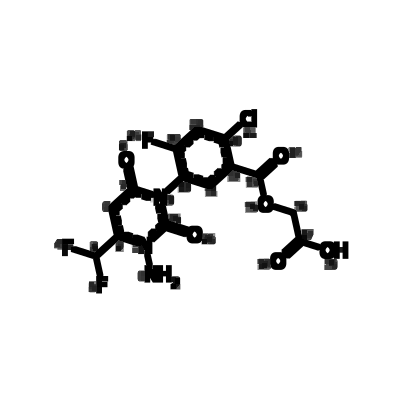 Nn1c(C(F)F)cc(=O)n(-c2cc(C(=O)OCC(=O)O)c(Cl)cc2F)c1=O